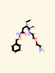 CC[C@@H](CC(=O)NOCc1ccccc1)[C@@H](C)NCCOCCN